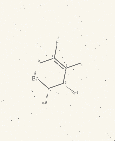 CC(F)=C(C)[C@H](C)[C@H](C)Br